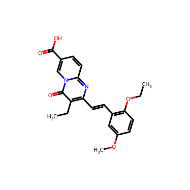 CCOc1ccc(OC)cc1C=Cc1nc2ccc(C(=O)O)cn2c(=O)c1CC